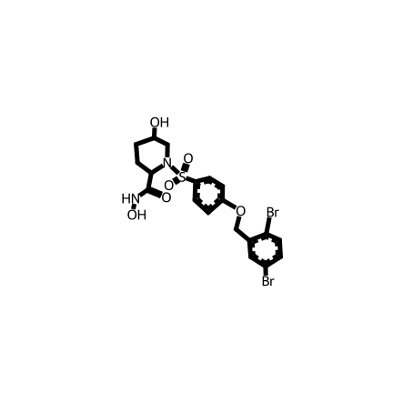 O=C(NO)C1CCC(O)CN1S(=O)(=O)c1ccc(OCc2cc(Br)ccc2Br)cc1